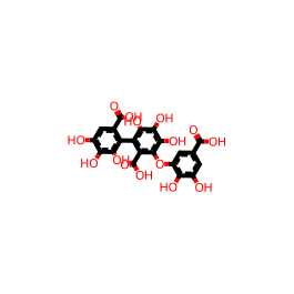 O=C(O)c1cc(O)c(O)c(Oc2c(O)c(O)c(O)c(-c3c(C(=O)O)cc(O)c(O)c3O)c2C(=O)O)c1